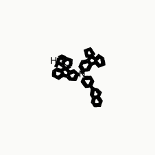 C[C@H]1C2CCC3CC(C2)CC1C31c2ccccc2-c2ccc(N(c3ccc(-c4ccc5ccccc5c4)cc3)c3ccc4c(c3)-c3ccccc3C43CCCC3)cc21